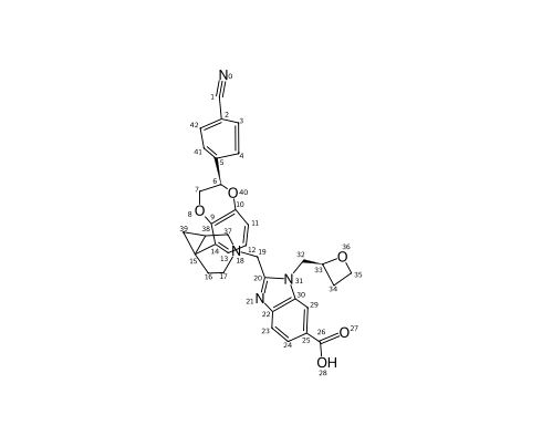 N#Cc1ccc([C@@H]2COc3c(cccc3C34CCN(Cc5nc6ccc(C(=O)O)cc6n5C[C@@H]5CCO5)CC3C4)O2)cc1